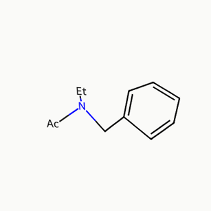 [CH2]C(=O)N(CC)Cc1ccccc1